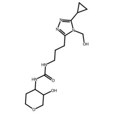 O=C(NCCCc1nnc(C2CC2)n1CO)NC1CCOCC1O